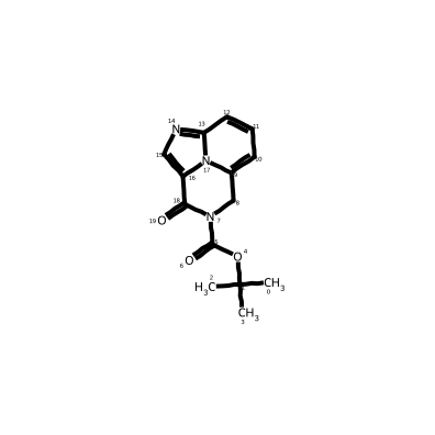 CC(C)(C)OC(=O)N1Cc2cccc3ncc(n23)C1=O